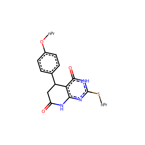 CCCOc1ccc(C2CC(=O)Nc3nc(SCCC)[nH]c(=O)c32)cc1